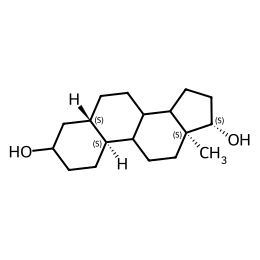 C[C@]12CCC3C(CC[C@H]4CC(O)CC[C@H]34)C1CC[C@@H]2O